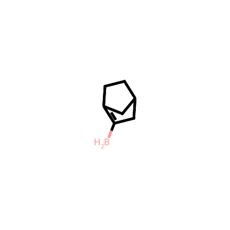 BC1=C2CCC(C1)C2